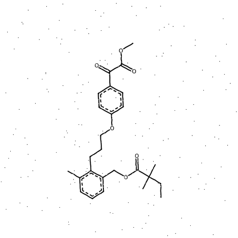 CCC(C)(C)C(=O)OCc1cccc(C)c1CCCOc1ccc(C(=O)C(=O)OC)cc1